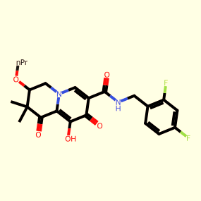 CCCOC1Cn2cc(C(=O)NCc3ccc(F)cc3F)c(=O)c(O)c2C(=O)C1(C)C